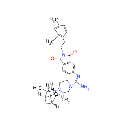 Cc1ccc(CCN2C(=O)c3ccc(N=C(N)N4CCN([C@H]5C[C@@H]6C[C@@H]([C@H]5C)C6(C)C)[C@@H](C)C4)cc3C2=O)c(C)c1